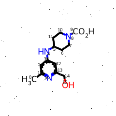 Cc1cc(NC2CCN(C(=O)O)CC2)cc(CO)n1